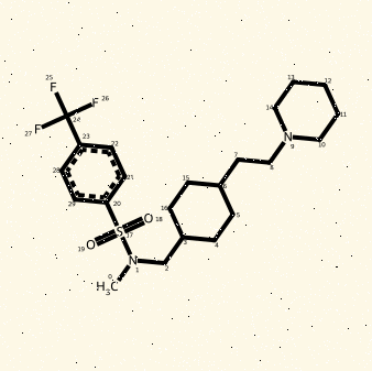 CN(CC1CCC(CCN2CCCCC2)CC1)S(=O)(=O)c1ccc(C(F)(F)F)cc1